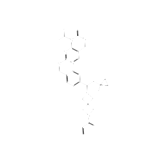 C=CC(=O)N1CC2(C1)CN(C(CC1(C)CC1)c1ccc([C@H](C)Nc3ncc4c(n3)N(C(C)C)C(=O)NC4)cc1)C2